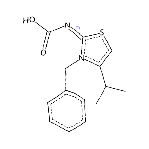 CC(C)c1cs/c(=N/C(=O)O)n1Cc1ccccc1